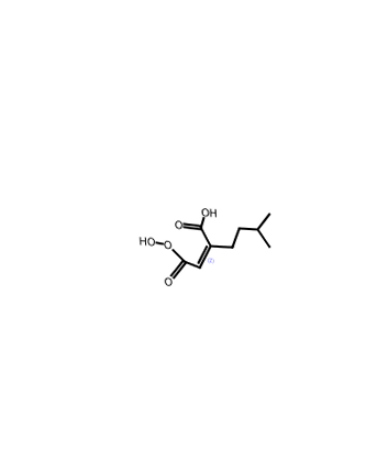 CC(C)CC/C(=C/C(=O)OO)C(=O)O